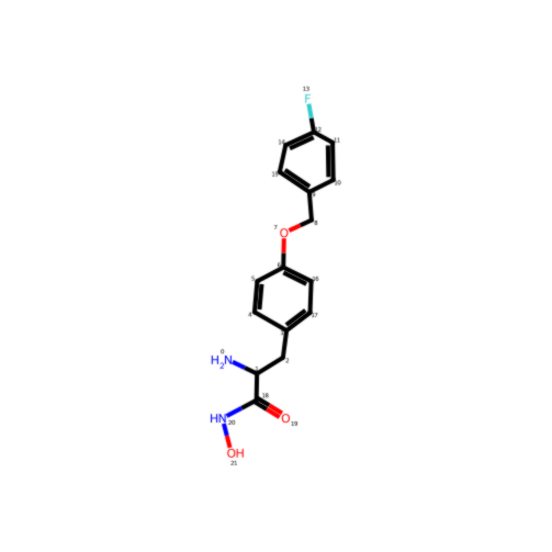 NC(Cc1ccc(OCc2ccc(F)cc2)cc1)C(=O)NO